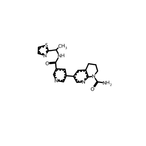 CC(NC(=O)c1cncc(-c2cnc3c(c2)CCCN3C(N)=O)c1)c1nccs1